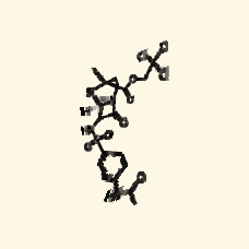 CC(=O)Nc1ccc(S(=O)(=O)NC2C(=O)N3[C@@H]2SC2(C)CC32C(=O)OCC(Cl)(Cl)Cl)cc1